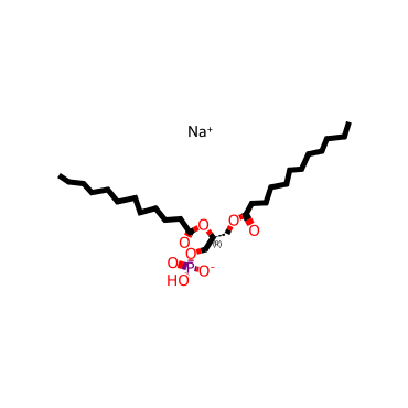 CCCCCCCCCCCC(=O)OC[C@H](COP(=O)([O-])O)OC(=O)CCCCCCCCCCC.[Na+]